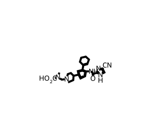 CN(CN1CCC(c2ccc(NC(=O)c3nc(C#N)c[nH]3)c(C3=CCCCC3)c2)CC1)C(=O)O